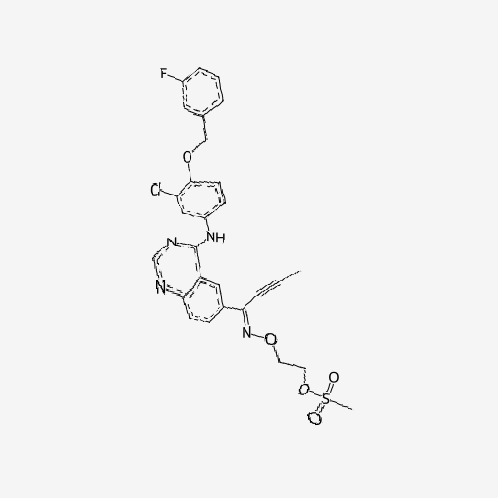 CC#C/C(=N\OCCOS(C)(=O)=O)c1ccc2ncnc(Nc3ccc(OCc4cccc(F)c4)c(Cl)c3)c2c1